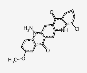 COc1ccc2c(c1)c(=O)c1cc3[nH]c4c(Cl)cccc4c(=O)c3cc1n2N